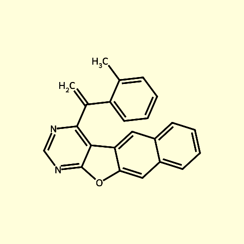 C=C(c1ccccc1C)c1ncnc2oc3cc4ccccc4cc3c12